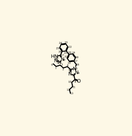 CCCCCc1nc(C(=O)CCCC)nn1Cc1ccc(-c2ccccc2-c2nnn[nH]2)cc1